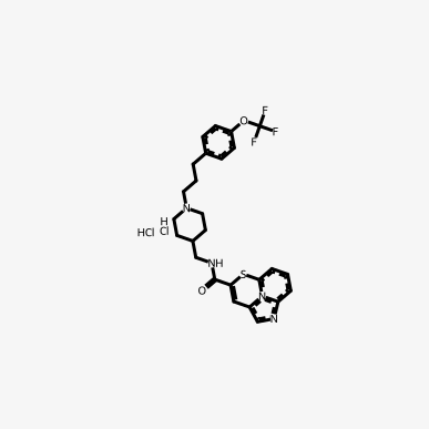 Cl.Cl.O=C(NCC1CCN(CCCc2ccc(OC(F)(F)F)cc2)CC1)C1=Cc2cnc3cccc(n23)S1